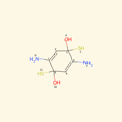 NC1=CC(O)(S)C(N)=CC1(O)S